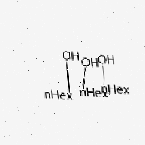 CCCCCCO.CCCCCCO.CCCCCCO